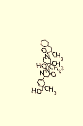 C[C@H](CC1CCCCC1)C(=O)N1CCC(O)(Cn2cnc(C3=CC=CC(C)(CO)C3)cc2=O)C(C)(C)C1